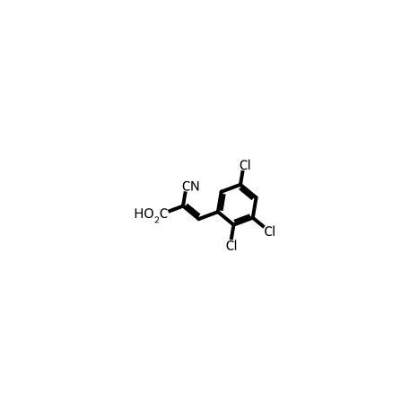 N#C/C(=C\c1cc(Cl)cc(Cl)c1Cl)C(=O)O